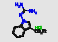 CCOC(=O)c1cn(N=C(N)N)c2ccccc12.Cl